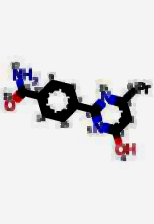 CC(C)c1cc(O)nc(-c2ccc(C(N)=O)cc2)n1